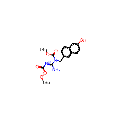 CC(C)(C)OOC(=O)/N=C(\N)N(Cc1ccc2cc(O)ccc2c1)C(=O)OC(C)(C)C